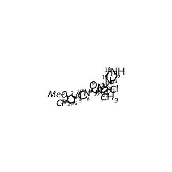 COc1cc(N2CCN(C(=O)Cn3nc(N4CCNCC4)c(Cl)c3C)CC2)ccc1Cl